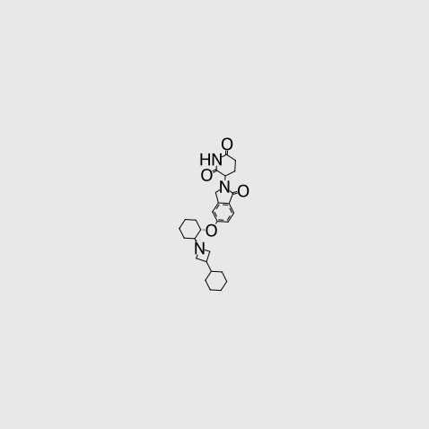 O=C1CCC(N2Cc3cc(O[C@H]4CCCC[C@@H]4N4CC(C5CCCCC5)C4)ccc3C2=O)C(=O)N1